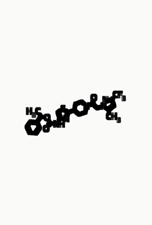 Cc1cc(C(F)(F)F)nn1CC(=O)N1CCC(c2nc(NC(=O)OC(C)c3ccccc3)cs2)CC1